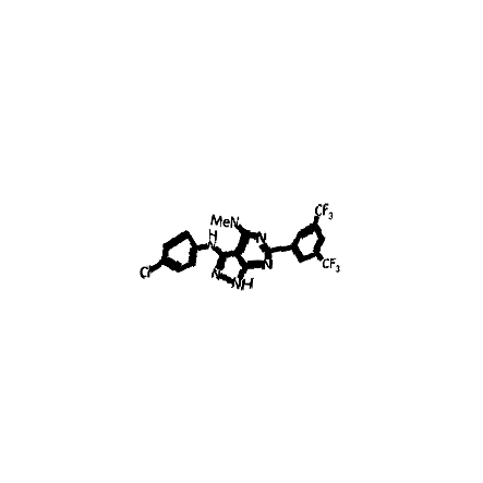 CNc1nc(-c2cc(C(F)(F)F)cc(C(F)(F)F)c2)nc2[nH]nc(Nc3ccc(Cl)cc3)c12